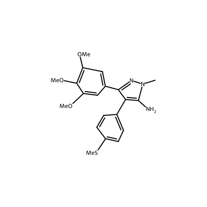 COc1cc(-c2nn(C)c(N)c2-c2ccc(SC)cc2)cc(OC)c1OC